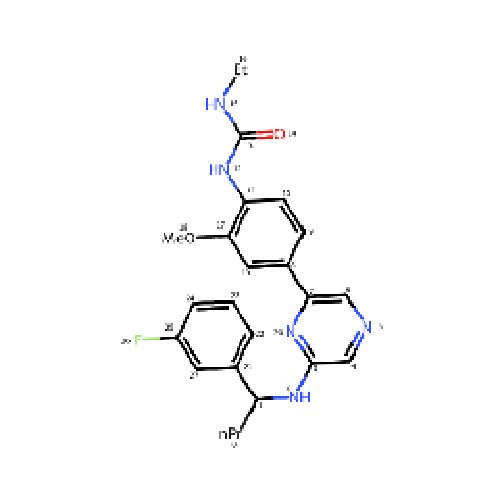 CCCC(Nc1cncc(-c2ccc(NC(=O)NCC)c(OC)c2)n1)c1cccc(F)c1